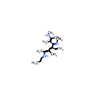 C=CC(=C\C(C)=C(/C)NCCC)/C(=N/C)C(/C)=C(\C)NC